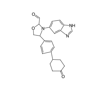 O=CC1OCC(c2ccc(C3CCC(=O)CC3)cc2)N1c1ccc2[nH]cnc2c1